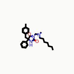 CCCCCCCN(C)CN1C(=O)NC(Cc2ccc(C)cc2)(c2ccccc2)C1=O